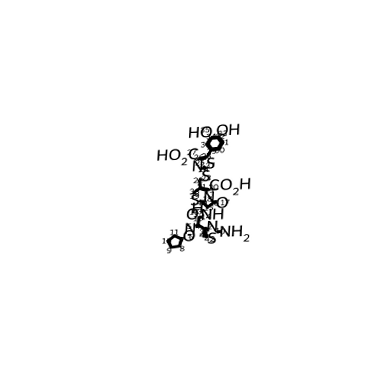 Nc1nc(/C(=N\OC2CCCC2)C(=O)N[C@@H]2C(=O)N3C(C(=O)O)=C(CSc4nc(C(=O)O)c(-c5ccc(O)c(O)c5)s4)CS[C@H]23)cs1